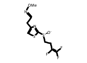 CO/N=C/Cc1csc([S@@+]([O-])CCC(F)=C(F)F)n1